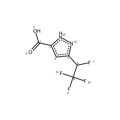 O=C(O)c1cc(C(F)C(F)(F)F)n[nH]1